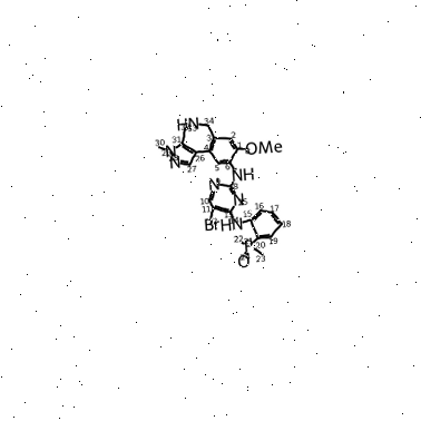 COc1cc2c(cc1Nc1ncc(Br)c(Nc3ccccc3P(C)(C)=O)n1)-c1cnn(C)c1CNC2